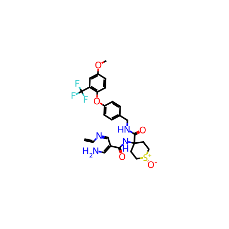 C=C/N=C\C(=C/N)C(=O)NC1(C(=O)NCc2ccc(Oc3ccc(OC)cc3C(F)(F)F)cc2)CC[S+]([O-])CC1